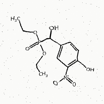 CCOP(=O)(OCC)C(O)c1ccc(O)c([N+](=O)[O-])c1